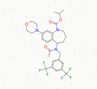 CC(=O)N(Cc1cc(C(F)(F)F)cc(C(F)(F)F)c1)C1CCCN(C(=O)OC(C)C)c2cc(N3CCOCC3)ccc21